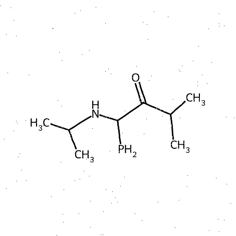 CC(C)NC(P)C(=O)C(C)C